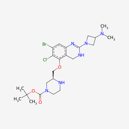 CN(C)C1CN(C2=Nc3cc(Br)c(Cl)c(OC[C@@H]4CN(C(=O)OC(C)(C)C)CCN4)c3CN2)C1